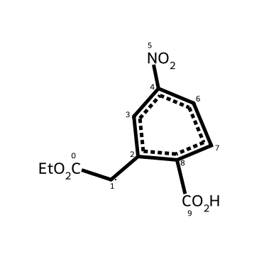 CCOC(=O)[CH]c1cc([N+](=O)[O-])ccc1C(=O)O